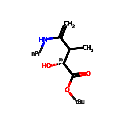 C=C(NCCC)C(C)[C@@H](O)C(=O)OC(C)(C)C